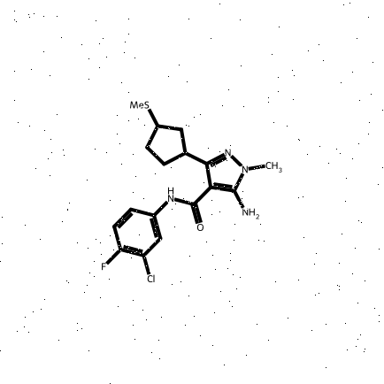 CSC1CCC(c2nn(C)c(N)c2C(=O)Nc2ccc(F)c(Cl)c2)C1